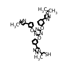 CC(C)n1cc(-c2cccc(Oc3nc(Oc4cccc(-c5cn(C)nn5)c4)nc(Oc4cccc(-c5cn(C(C)CS)nn5)c4)n3)c2)nn1